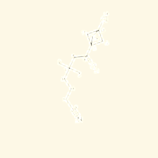 CC(C)(CCCC#N)CC(=O)C12CC(Cl)(C1)C2